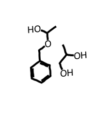 CC(O)CO.CC(O)OCc1ccccc1